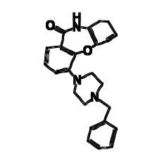 O=C1NC2=C(C=CCC2)Oc2c1cccc2N1CCN(Cc2ccccc2)CC1